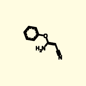 N#CC=C(N)Oc1ccccc1